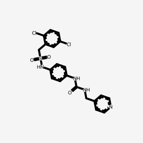 O=C(NCc1ccncc1)Nc1ccc(NS(=O)(=O)Cc2cc(Cl)ccc2Cl)cc1